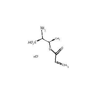 C=CC(=O)O[C@H](C)[C@H](N)C(=O)O.Cl